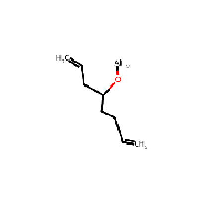 C=CCCC(CC=C)[O][AlH2]